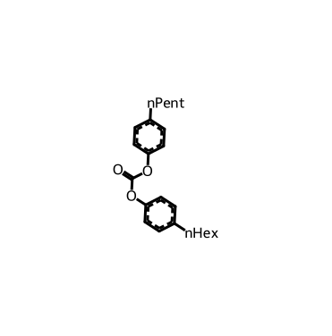 CCCCCCc1ccc(OC(=O)Oc2ccc(CCCCC)cc2)cc1